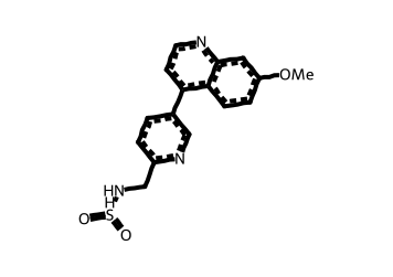 COc1ccc2c(-c3ccc(CN[SH](=O)=O)nc3)ccnc2c1